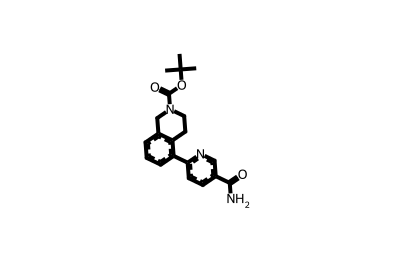 CC(C)(C)OC(=O)N1CCc2c(cccc2-c2ccc(C(N)=O)cn2)C1